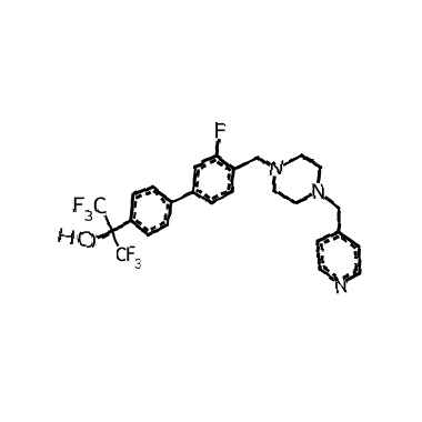 OC(c1ccc(-c2ccc(CN3CCN(Cc4ccncc4)CC3)c(F)c2)cc1)(C(F)(F)F)C(F)(F)F